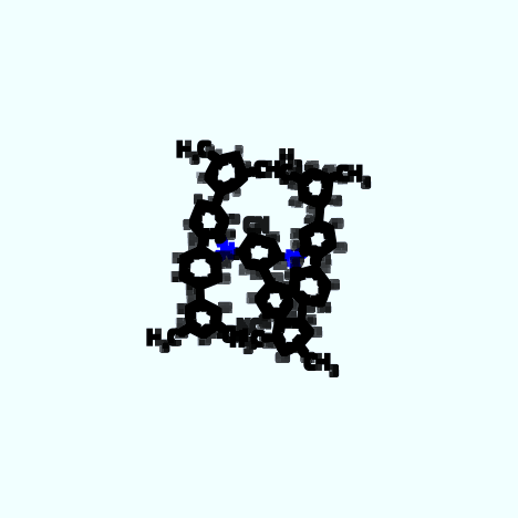 Cc1cc(C)cc(-c2ccc3c4ccc(-c5cc(C)cc(C)c5)cc4n(-c4cc(-c5cccc(C#N)c5)c(-n5c6cc(-c7cc(C)cc(C)c7)ccc6c6ccc(-c7cc(C)cc(C)c7)cc65)cc4C#N)c3c2)c1